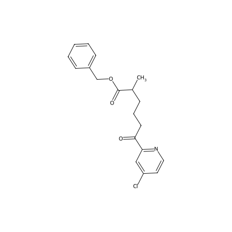 CC(CCCC(=O)c1cc(Cl)ccn1)C(=O)OCc1ccccc1